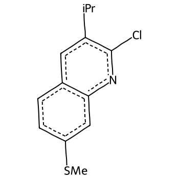 CSc1ccc2cc(C(C)C)c(Cl)nc2c1